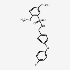 COc1ccc(CO)cc1S(=O)(=O)NCc1ccc(Oc2ccc(F)cc2)cc1